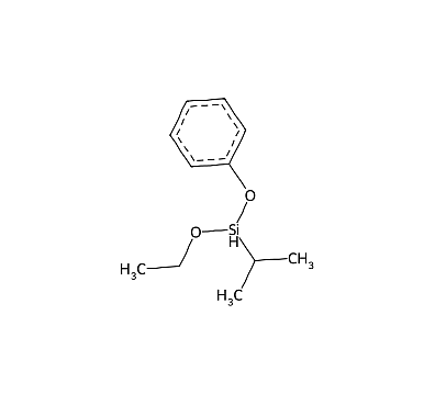 CCO[SiH](Oc1ccccc1)C(C)C